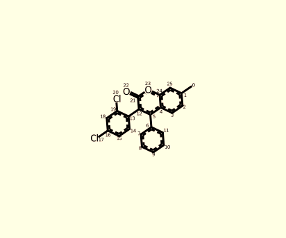 Cc1ccc2c(-c3ccccc3)c(-c3ccc(Cl)cc3Cl)c(=O)oc2c1